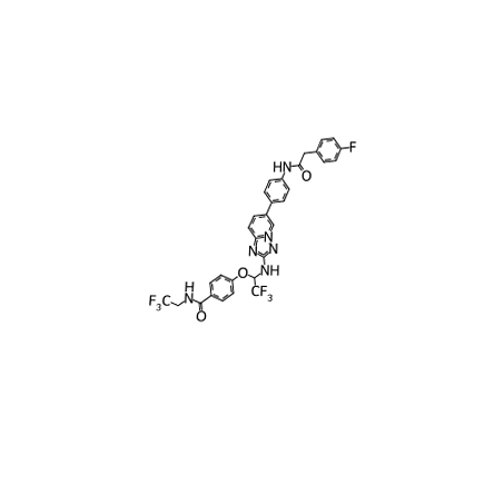 O=C(Cc1ccc(F)cc1)Nc1ccc(-c2ccc3nc(NC(Oc4ccc(C(=O)NCC(F)(F)F)cc4)C(F)(F)F)nn3c2)cc1